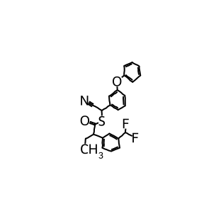 CCC(C(=O)SC(C#N)c1cccc(Oc2ccccc2)c1)c1cccc(C(F)F)c1